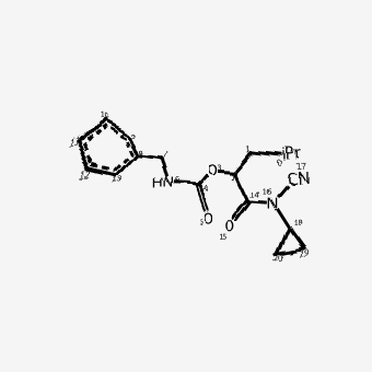 CC(C)CC(OC(=O)NCc1ccccc1)C(=O)N(C#N)C1CC1